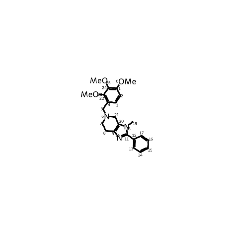 COc1ccc(CN2CCc3nc(-c4ccccc4)n(C)c3C2)c(OC)c1OC